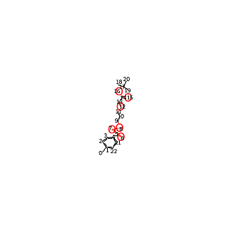 Cc1ccc(S(=O)(=O)OCCCOCC(=O)OC(C)(C)C)cc1